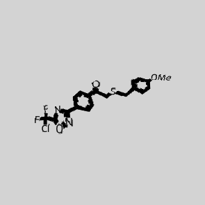 COc1ccc(CSCC(=O)c2ccc(-c3noc(C(F)(F)Cl)n3)cc2)cc1